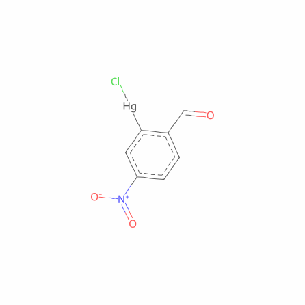 O=Cc1ccc([N+](=O)[O-])c[c]1[Hg][Cl]